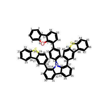 c1ccc2c(c1)oc1c(-c3ccc(-n4c5c(-c6ccc7sc8ccccc8c7c6)cccc5c5cccc(-c6ccc7sc8ccccc8c7c6)c54)cc3)cccc12